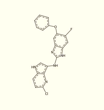 Fc1cc2[nH]c(Nc3c[nH]c4ccc(Cl)nc34)nc2cc1Oc1ccccc1